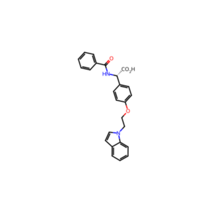 O=C(N[C@H](C(=O)O)c1ccc(OCCn2ccc3ccccc32)cc1)c1ccccc1